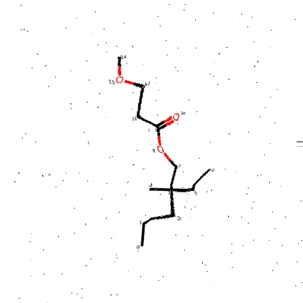 CCCC(C)(CC)COC(=O)CCOC